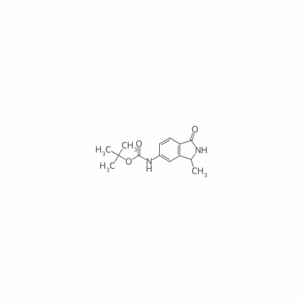 CC1NC(=O)c2ccc(NC(=O)OC(C)(C)C)cc21